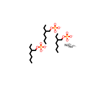 CCCCC(CC)COP(=O)([O-])[O-].CCCCC(CC)COP(=O)([O-])[O-].CCCCC(CC)COP(=O)([O-])[O-].[Nd+3].[Nd+3]